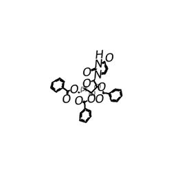 O=C(OC[C@@H]1OC(n2ccc(=O)[nH]c2=O)[C@H](OC(=O)c2ccccc2)[C@H]1OC(=O)c1ccccc1)c1ccccc1